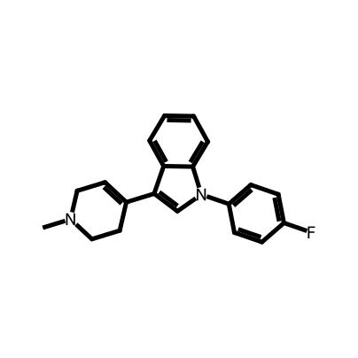 CN1CC=C(c2cn(-c3ccc(F)cc3)c3ccccc23)CC1